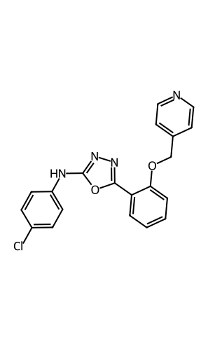 Clc1ccc(Nc2nnc(-c3ccccc3OCc3ccncc3)o2)cc1